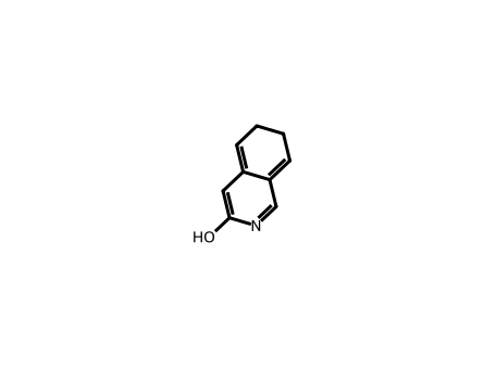 Oc1cc2c(cn1)=CCCC=2